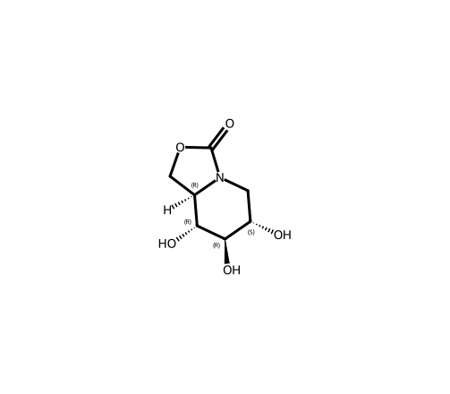 O=C1OC[C@@H]2[C@@H](O)[C@H](O)[C@@H](O)CN12